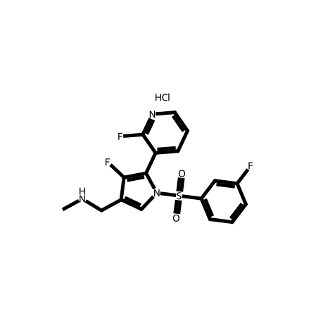 CNCc1cn(S(=O)(=O)c2cccc(F)c2)c(-c2cccnc2F)c1F.Cl